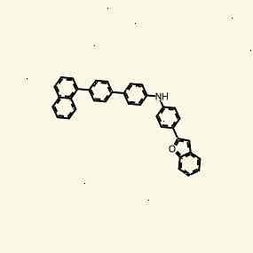 c1ccc2oc(-c3ccc(Nc4ccc(-c5ccc(-c6cccc7ccccc67)cc5)cc4)cc3)cc2c1